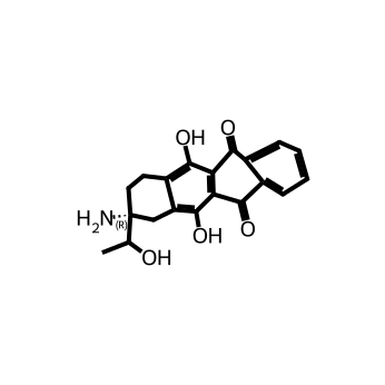 CC(O)[C@@]1(N)CCc2c(O)c3c(c(O)c2C1)C(=O)c1ccccc1C3=O